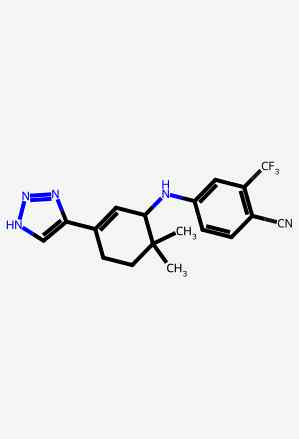 CC1(C)CCC(c2c[nH]nn2)=CC1Nc1ccc(C#N)c(C(F)(F)F)c1